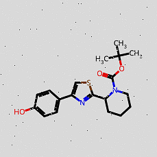 CC(C)(C)OC(=O)N1CCCCC1c1nc(-c2ccc(O)cc2)cs1